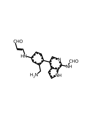 NCc1cc(NC=CC=O)ccc1-c1cnc(NC=O)c2[nH]ccc12